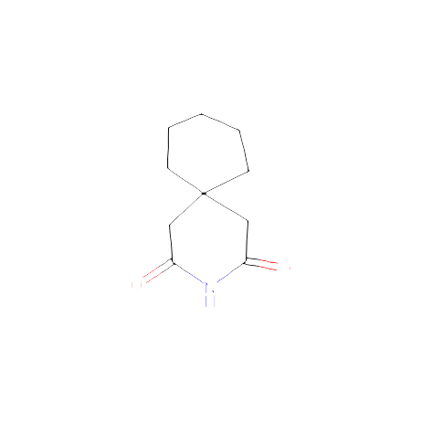 O=C1CC2(CCCCC2)CC(=O)N1